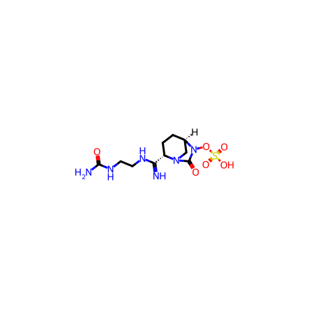 N=C(NCCNC(N)=O)[C@@H]1CC[C@@H]2CN1C(=O)N2OS(=O)(=O)O